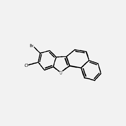 Clc1cc2oc3c4ccccc4ccc3c2cc1Br